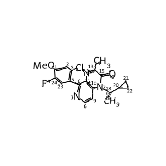 COc1cc(Cl)c(-c2nccc3c2nc(C)c(=O)n3[C@H](C)C2CC2)cc1F